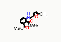 COC(=O)c1cccc(NCc2ccc(C)o2)c1C(=O)OC